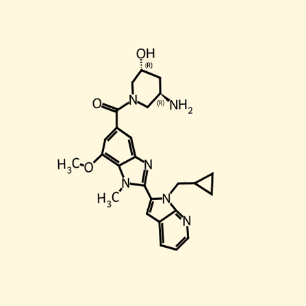 COc1cc(C(=O)N2C[C@H](N)C[C@@H](O)C2)cc2nc(-c3cc4cccnc4n3CC3CC3)n(C)c12